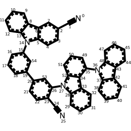 N#Cc1ccc2c(c1)c1ccccc1n2-c1cccc(-c2ccc(C#N)c(-n3c4ccccc4c4c(-n5c6ccccc6c6ccccc65)cccc43)c2)c1